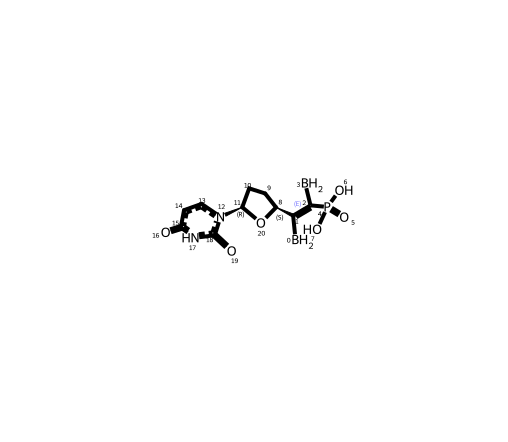 B/C(=C(/B)P(=O)(O)O)[C@@H]1CC[C@H](n2ccc(=O)[nH]c2=O)O1